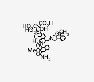 COc1c(C(N)=O)cc2ccccc2c1C(=O)N(C)CC(CCN1CCC(c2ccccc2[S@+](C)[O-])CC1)c1ccc(Cl)c(Cl)c1.O=C(O)CC(O)(CC(=O)O)C(=O)O